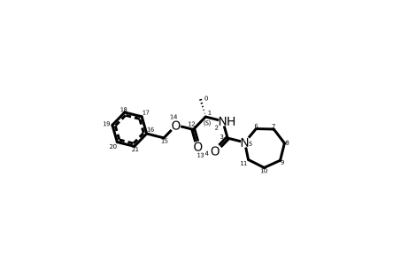 C[C@H](NC(=O)N1CCCCCC1)C(=O)OCc1ccccc1